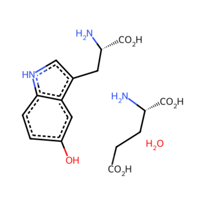 N[C@@H](CCC(=O)O)C(=O)O.N[C@@H](Cc1c[nH]c2ccc(O)cc12)C(=O)O.O